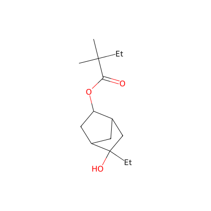 CCC(C)(C)C(=O)OC1CC2CC1CC2(O)CC